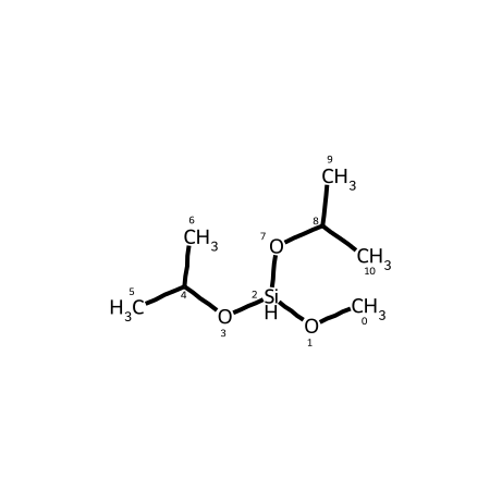 CO[SiH](OC(C)C)OC(C)C